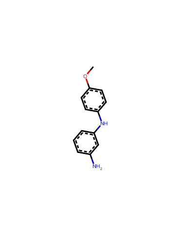 COc1ccc(Nc2cccc(N)c2)cc1